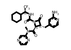 CN(C(=O)[C@@H]1[C@@H](Cc2ccnc(N)c2)C(=O)N1C(=O)N[C@@H](C1CCCCC1)C(F)(F)F)c1cnccn1